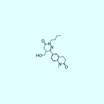 CCCCN1N=C(c2ccc3c(c2)CCC(=O)N3C)C(CO)CC1=O